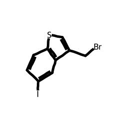 BrCc1csc2ccc(I)cc12